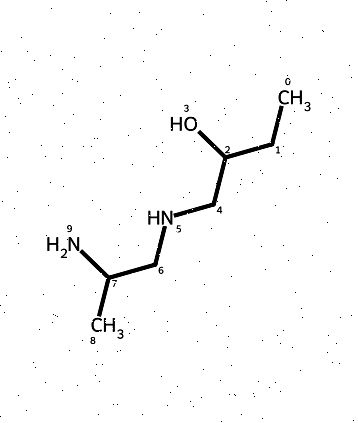 CCC(O)CNCC(C)N